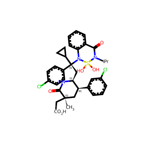 CC(C)N1C(=O)c2ccccc2N([C@](C[C@@H]2NC(=O)[C@](C)(CC(=O)O)C[C@@H]2c2cccc(Cl)c2)(c2ccc(Cl)cc2)C2CC2)S1(O)O